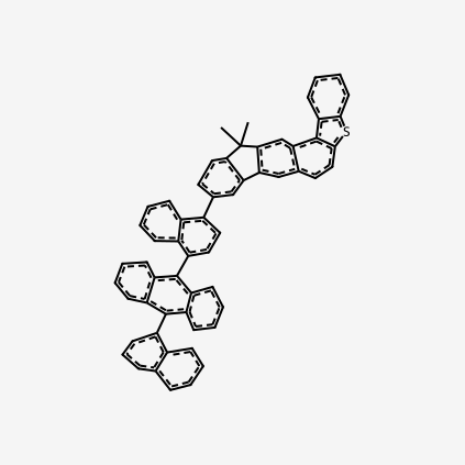 CC1(C)c2ccc(-c3ccc(-c4c5ccccc5c(-c5cccc6ccccc56)c5ccccc45)c4ccccc34)cc2-c2cc3ccc4sc5ccccc5c4c3cc21